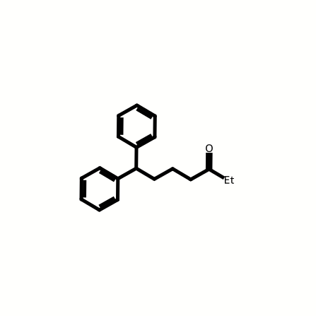 CCC(=O)CCCC(c1ccccc1)c1ccccc1